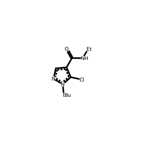 CCNC(=O)c1cnn(C(C)(C)C)c1Cl